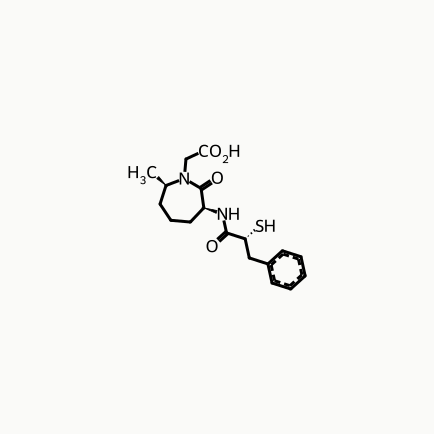 C[C@@H]1CCC[C@H](NC(=O)[C@H](S)Cc2ccccc2)C(=O)N1CC(=O)O